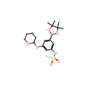 CC1(C)OB(c2cc(OC3CCCCO3)cc(OS(=O)(=O)F)c2)OC1(C)C